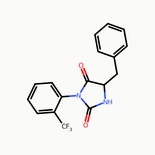 O=C1NC(Cc2ccccc2)C(=O)N1c1ccccc1C(F)(F)F